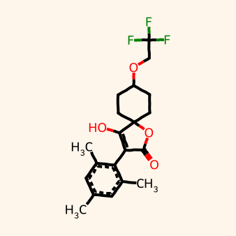 Cc1cc(C)c(C2=C(O)C3(CCC(OCC(F)(F)F)CC3)OC2=O)c(C)c1